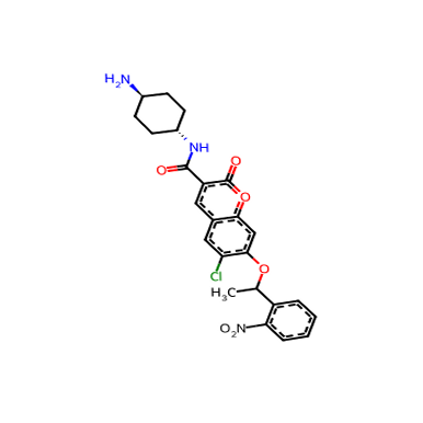 CC(Oc1cc2oc(=O)c(C(=O)N[C@H]3CC[C@H](N)CC3)cc2cc1Cl)c1ccccc1[N+](=O)[O-]